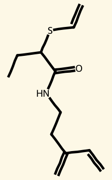 C=CSC(CC)C(=O)NCCC(=C)C=C